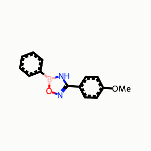 COc1ccc(C2=NOB(c3ccccc3)N2)cc1